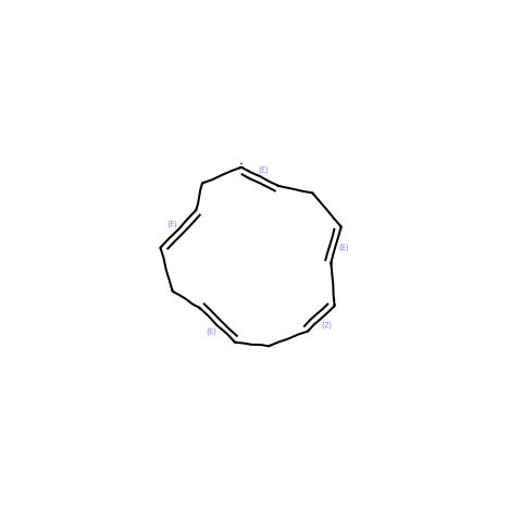 [C]1=C/C/C=C/C=C\C/C=C/C/C=C/C/1